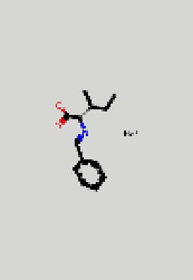 CCC(C)[C@H](/N=C/c1ccccc1)C(=O)[O-].[Na+]